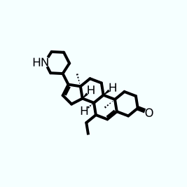 CCC1C=C2CC(=O)CC[C@]2(C)[C@H]2CC[C@]3(C)C(C4CCCNC4)=CC[C@H]3[C@H]12